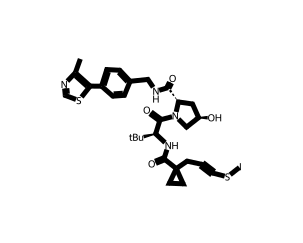 Cc1ncsc1-c1ccc(CNC(=O)[C@@H]2C[C@@H](O)CN2C(=O)[C@@H](NC(=O)C2(CC#CSI)CC2)C(C)(C)C)cc1